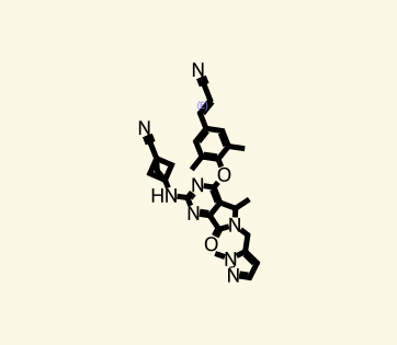 Cc1cc(/C=C/C#N)cc(C)c1Oc1nc(NC23CC(C#N)(C2)C3)nc2c1C(C)N(Cc1ccnn1C)C2=O